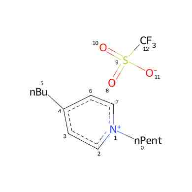 CCCCC[n+]1ccc(CCCC)cc1.O=S(=O)([O-])C(F)(F)F